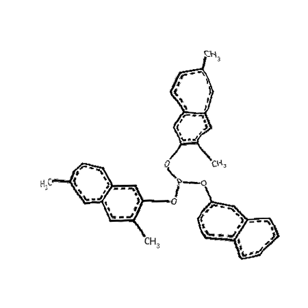 Cc1ccc2cc(OP(Oc3ccc4ccccc4c3)Oc3cc4ccc(C)cc4cc3C)c(C)cc2c1